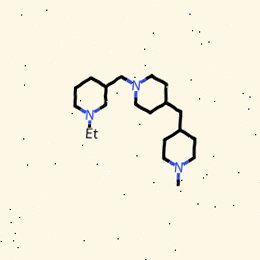 CCN1CCCC(CN2CCC(CC3CCN(C)CC3)CC2)C1